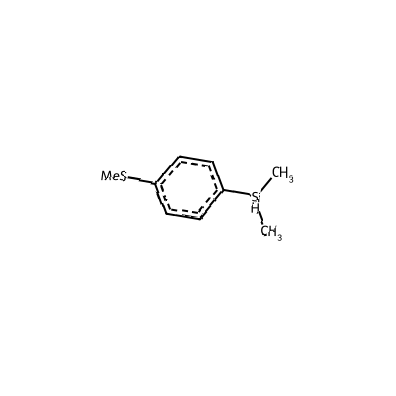 CSc1ccc([SiH](C)C)cc1